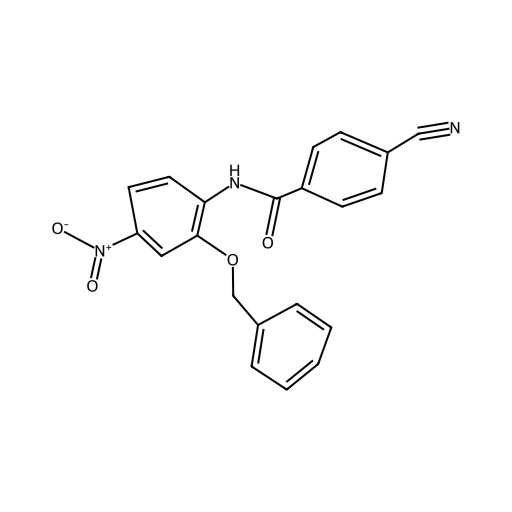 N#Cc1ccc(C(=O)Nc2ccc([N+](=O)[O-])cc2OCc2ccccc2)cc1